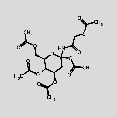 CC(=O)OC[C@H]1O[C@](NC(=O)CSC(C)=O)(OC(C)=O)C[C@@H](OC(C)=O)[C@@H]1OC(C)=O